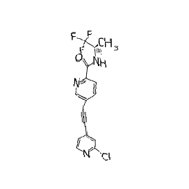 C[C@@H](NC(=O)c1ccc(C#Cc2ccnc(Cl)c2)cn1)C(F)(F)F